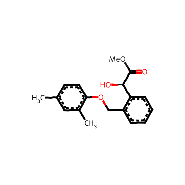 COC(=O)[C@H](O)c1ccccc1COc1ccc(C)cc1C